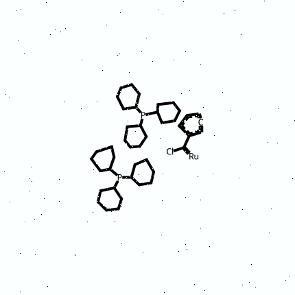 C1CCC(P(C2CCCCC2)C2CCCCC2)CC1.C1CCC(P(C2CCCCC2)C2CCCCC2)CC1.Cl[C](=[Ru])c1ccccc1